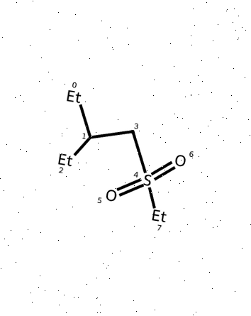 CCC(CC)CS(=O)(=O)CC